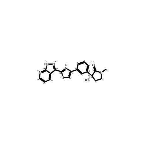 CN1CC[C@@](O)(c2cccc(-c3csc(-c4n[nH]c5ncccc45)n3)c2)C1=O